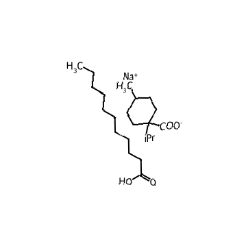 CC1CCC(C(=O)[O-])(C(C)C)CC1.CCCCCCCCCCC(=O)O.[Na+]